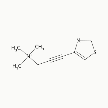 C[N+](C)(C)CC#Cc1cscn1